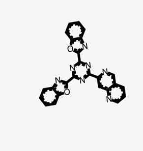 c1cnc2cc(-c3nc(-c4nc5ccccc5o4)nc(-c4nc5ccccc5o4)n3)ncc2c1